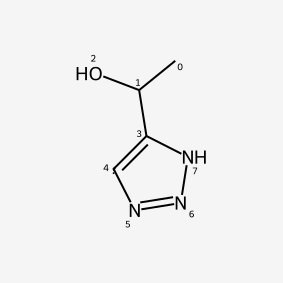 CC(O)c1[c]nn[nH]1